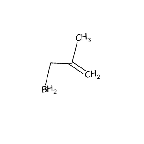 BCC(=C)C